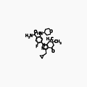 CC1(C)CC(=O)c2c(CC3CC3)nn(-c3cc(NC4CCOCC4)c(C(N)=O)cc3F)c2C1